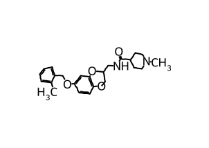 Cc1ccccc1COc1ccc2c(c1)OC(CNC(=O)C1CCN(C)CC1)CO2